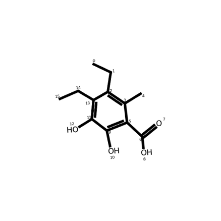 CCc1c(C)c(C(=O)O)c(O)c(O)c1CC